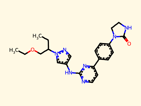 CCOCC(CC)n1cc(Nc2nccc(-c3ccc(N4CCNC4=O)cc3)n2)cn1